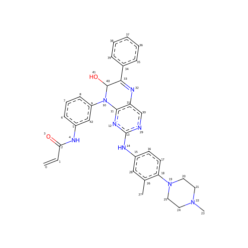 C=CC(=O)Nc1cccc(N2c3nc(Nc4ccc(N5CCN(C)CC5)c(C)c4)ncc3N=C(c3ccccc3)C2O)c1